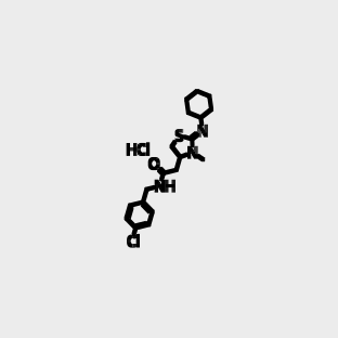 CN1C(=NC2CCCCC2)SCC1CC(=O)NCc1ccc(Cl)cc1.Cl